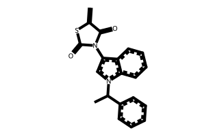 C=C1SC(=O)N(c2cn(C(C)c3ccccc3)c3ccccc23)C1=O